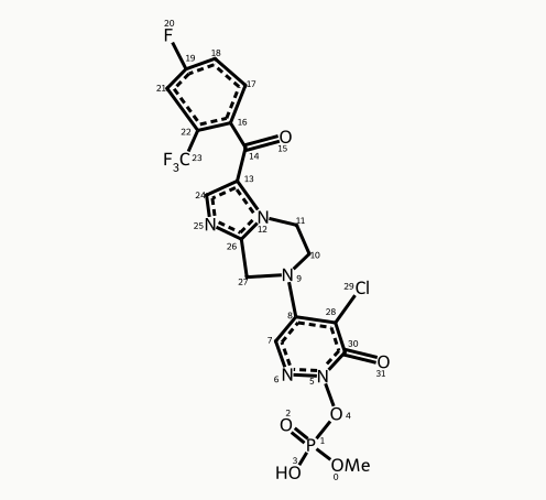 COP(=O)(O)On1ncc(N2CCn3c(C(=O)c4ccc(F)cc4C(F)(F)F)cnc3C2)c(Cl)c1=O